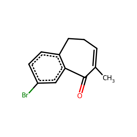 CC1=CCCc2ccc(Br)cc2C1=O